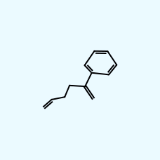 C=CCCC(=C)c1ccccc1